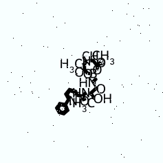 C[C@@H]1C(=O)OB(CNC(=O)C(NC(=O)c2cccc(-c3ccccc3)n2)[C@@H](C)O)OC(=O)[C@H](C)N1C